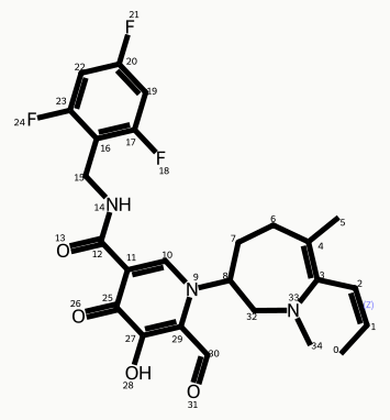 C/C=C\C1=C(C)CCC(n2cc(C(=O)NCc3c(F)cc(F)cc3F)c(=O)c(O)c2C=O)CN1C